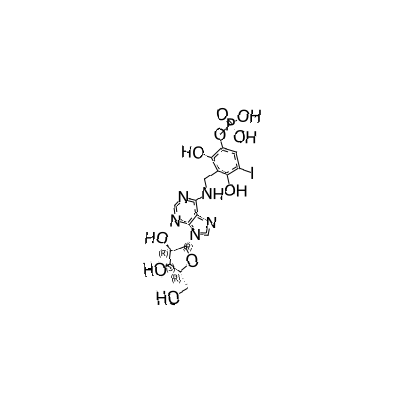 O=P(O)(O)Oc1cc(I)c(O)c(CNc2ncnc3c2ncn3[C@@H]2O[C@H](CO)[C@@H](O)[C@H]2O)c1O